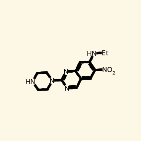 CCNc1cc2nc(N3CCNCC3)ncc2cc1[N+](=O)[O-]